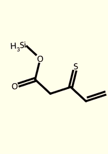 C=CC(=S)CC(=O)O[SiH3]